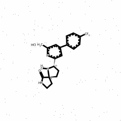 Cc1cc(-c2ccc(C(F)(F)F)cc2)cc([C@@H]2CC[C@]3(CCNC3=O)N2C)n1.Cl